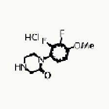 COc1ccc(N2CCNCC2=O)c(F)c1F.Cl